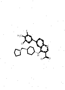 CCC(=O)c1cnc2ccc(-c3cc(F)c(C)c(Cl)c3)cc2c1N[C@H]1CC[C@H](CN2CCCC2)CC1